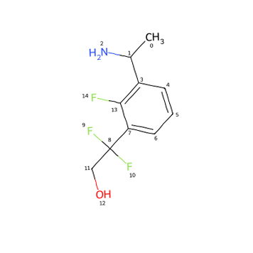 CC(N)c1cccc(C(F)(F)CO)c1F